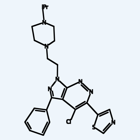 CC(C)N1CCN(CCn2nc(-c3ccccc3)c3c(Cl)c(-c4cncs4)nnc32)CC1